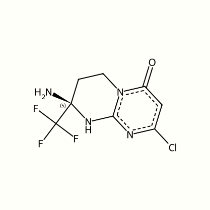 N[C@@]1(C(F)(F)F)CCn2c(nc(Cl)cc2=O)N1